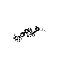 CCN(C(=O)OCc1cc(C)cc(C(F)(F)F)c1)c1noc2ccc(C3=CCN(C(=O)CN4C(=O)CSC4=S)CC3)cc12